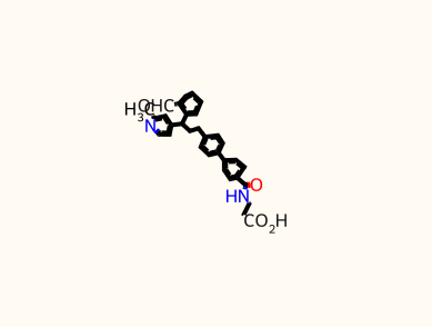 Cc1cc(C(CCc2ccc(-c3ccc(C(=O)NCCC(=O)O)cc3)cc2)c2ccccc2C=O)ccn1